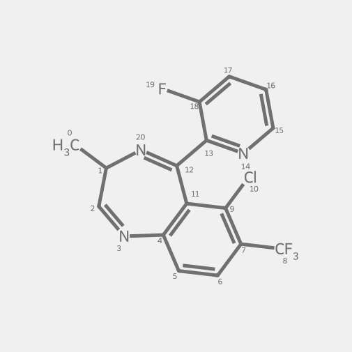 CC1C=Nc2ccc(C(F)(F)F)c(Cl)c2C(c2ncccc2F)=N1